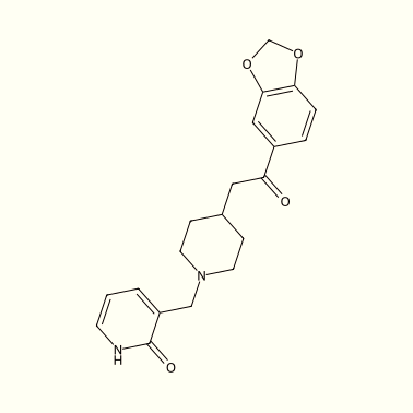 O=C(CC1CCN(Cc2ccc[nH]c2=O)CC1)c1ccc2c(c1)OCO2